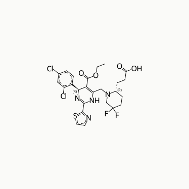 CCOC(=O)C1=C(CN2CC(F)(F)CC[C@H]2CCC(=O)O)NC(c2nccs2)=N[C@H]1c1ccc(Cl)cc1Cl